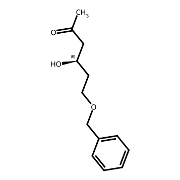 CC(=O)C[C@H](O)CCOCc1ccccc1